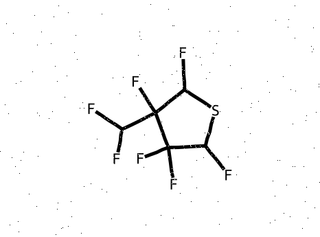 FC1SC(F)C(F)(C(F)F)C1(F)F